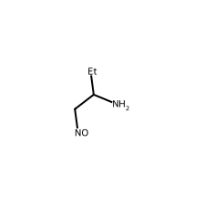 CCC(N)CN=O